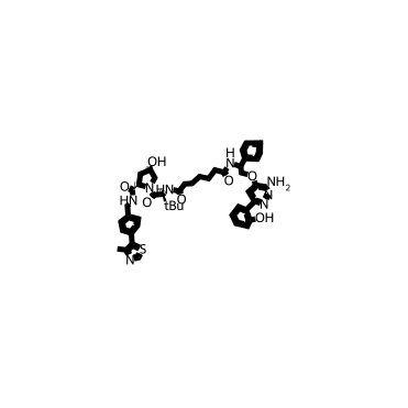 Cc1ncsc1-c1ccc(CNC(=O)[C@@H]2C[C@@H](O)CN2C(=O)[C@@H](NC(=O)CCCCCC(=O)NC(COc2cc(-c3ccccc3O)nnc2N)c2ccccc2)C(C)(C)C)cc1